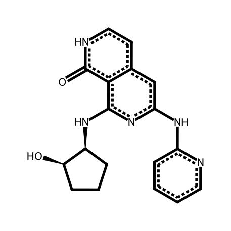 O=c1[nH]ccc2cc(Nc3ccccn3)nc(N[C@H]3CCC[C@H]3O)c12